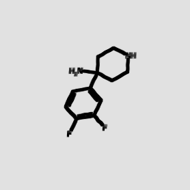 NC1(c2ccc(F)c(F)c2)CCNCC1